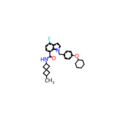 CC1CC2(C1)CC(NC(=O)c1ccc(F)c3ccn(Cc4ccc(OC5CCCCC5)cc4)c13)C2